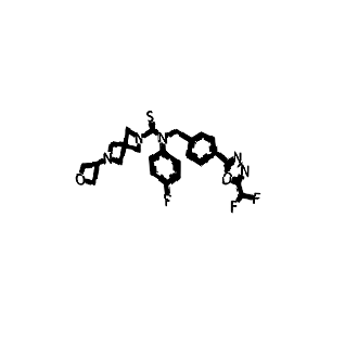 Fc1ccc(N(Cc2ccc(-c3nnc(C(F)F)o3)cc2)C(=S)N2CC3(C2)CN(C2COC2)C3)cc1